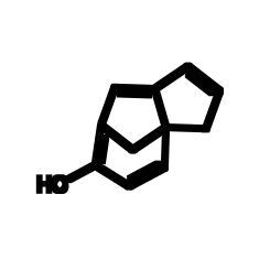 OC1=C2C=C3C=CCC3(C=C1)C2